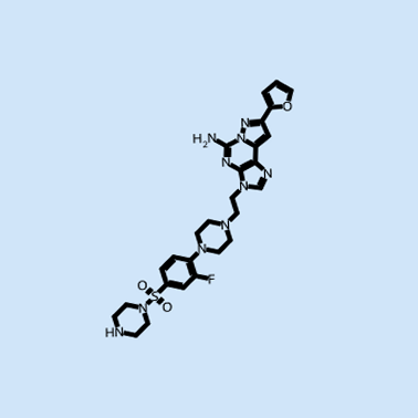 Nc1nc2c(ncn2CCN2CCN(c3ccc(S(=O)(=O)N4CCNCC4)cc3F)CC2)c2cc(-c3ccco3)nn12